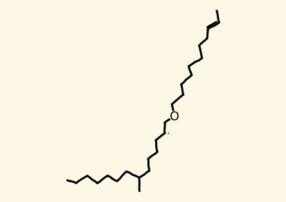 CC=CCCCCCCCCOC[CH]CCCCC(C)CCCCCCC